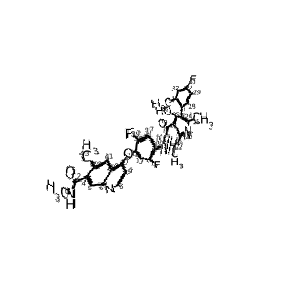 CNC(=O)c1cc2nccc(Oc3cc(F)c(NC(=O)c4c(C)nc(C)c(-c5ccc(F)cc5C)c4O)cc3F)c2cc1C